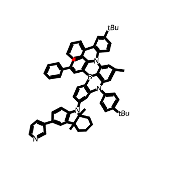 Cc1cc2c3c(c1)N(c1ccc(C(C)(C)C)cc1-c1ccccc1)c1ccc(-c4ccccc4)cc1B3c1ccc(N3c4ccc(-c5cccnc5)cc4C4(C)CCCCC34C)cc1N2c1ccc(C(C)(C)C)cc1